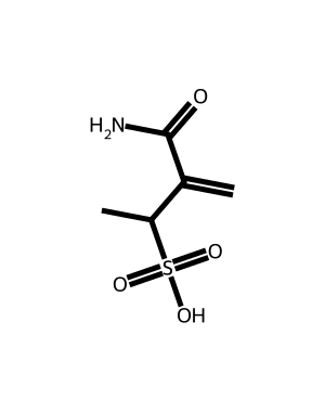 C=C(C(N)=O)C(C)S(=O)(=O)O